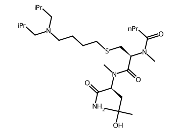 CCCC(=O)N(C)[C@H](CSCCCCN(CC(C)C)CC(C)C)C(=O)N(C)[C@@H](CC(C)(C)O)C(N)=O